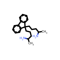 CC(N)CCCC1(CCCC(C)N)c2ccccc2-c2ccccc21